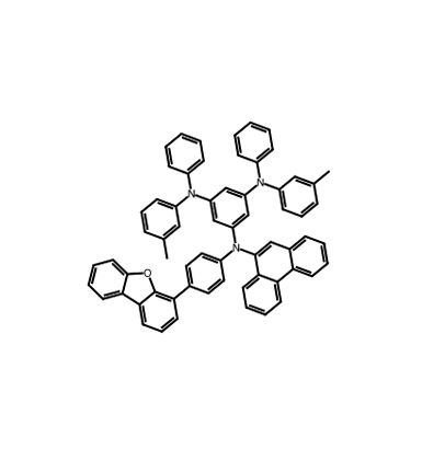 Cc1cccc(N(c2ccccc2)c2cc(N(c3ccccc3)c3cccc(C)c3)cc(N(c3ccc(-c4cccc5c4oc4ccccc45)cc3)c3cc4ccccc4c4ccccc34)c2)c1